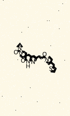 O=C(C=Cc1cnc2c(c1)CC1(CCN(C(=O)N3CCC3)CC1)C(=O)N2)N1CC=C(Cc2cccs2)CC1